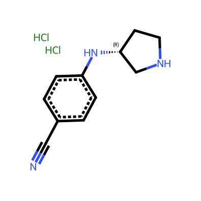 Cl.Cl.N#Cc1ccc(N[C@@H]2CCNC2)cc1